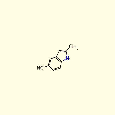 CC1=Cc2cc(C#N)ccc2[N]1